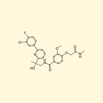 CNC(=O)COc1ccc(C(=O)NCC(C)(O)c2cccc(-c3ccc(F)c(Cl)c3)n2)cc1OC